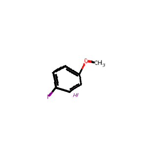 COc1ccc(I)cc1.I